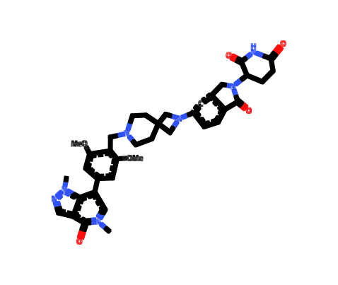 COc1cc(-c2cn(C)c(=O)c3cnn(C)c23)cc(OC)c1CN1CCC2(CC1)CN(c1ccc3c(c1)CN(C1CCC(=O)NC1=O)C3=O)C2